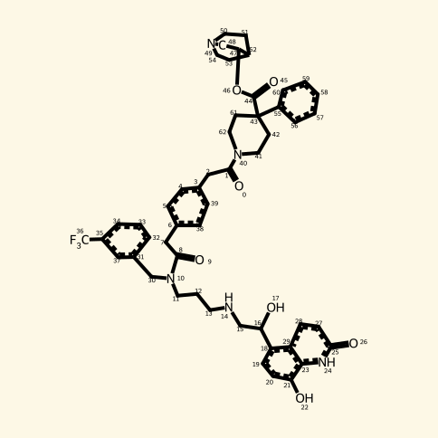 O=C(Cc1ccc(CC(=O)N(CCCNCC(O)c2ccc(O)c3[nH]c(=O)ccc23)Cc2cccc(C(F)(F)F)c2)cc1)N1CCC(C(=O)OC2CN3CCC2CC3)(c2ccccc2)CC1